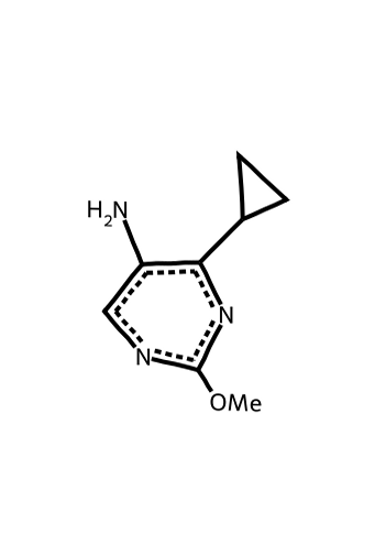 COc1ncc(N)c(C2CC2)n1